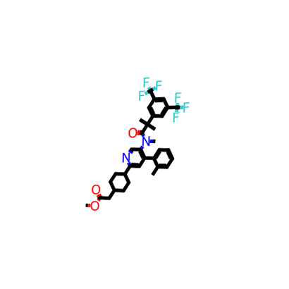 COC(=O)CC1CCC(c2cc(-c3ccccc3C)c(N(C)C(=O)C(C)(C)c3cc(C(F)(F)F)cc(C(F)(F)F)c3)cn2)CC1